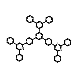 c1ccc(-c2cc(-c3ccccc3)cc(-c3cc(-c4ccc(-c5cc(-c6ccccc6)cc(-c6ccccc6)n5)cc4)cc(-c4ccc(-c5cc(-c6ccccc6)nc(-c6ccccc6)n5)cc4)c3)c2)cc1